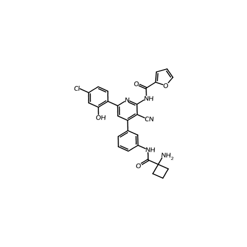 N#Cc1c(-c2cccc(NC(=O)C3(N)CCC3)c2)cc(-c2ccc(Cl)cc2O)nc1NC(=O)c1ccco1